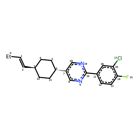 CCC=C[C@H]1CC[C@H](c2cnc(-c3ccc(F)c(Cl)c3)nc2)CC1